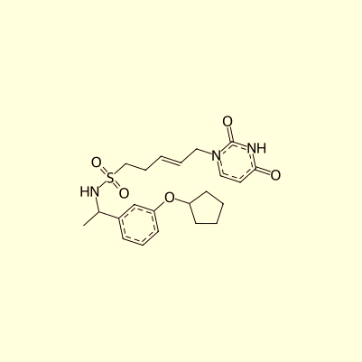 CC(NS(=O)(=O)CCC=CCn1ccc(=O)[nH]c1=O)c1cccc(OC2CCCC2)c1